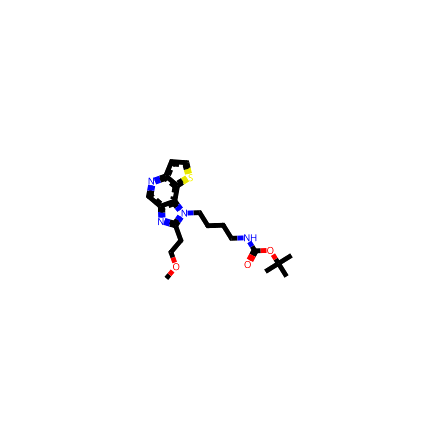 COCCc1nc2cnc3ccsc3c2n1CCCCNC(=O)OC(C)(C)C